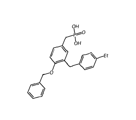 CCc1ccc(Cc2cc(CP(=O)(O)O)ccc2OCc2ccccc2)cc1